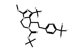 COc1nc(C(F)(F)F)c2n1CCN(C(=O)OC(C)(C)C)C2CCc1ccc(C(F)(F)F)cc1